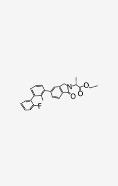 CCOC(=O)C(C)N1Cc2cc(-c3cccc(-c4ccccc4F)c3C)ccc2C1=O